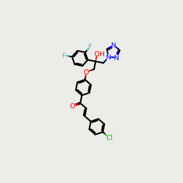 O=C(C=Cc1ccc(Cl)cc1)c1ccc(OC[C@@](O)(Cn2cncn2)c2ccc(F)cc2F)cc1